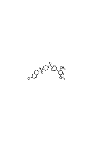 Cc1cc(-c2cnc(C(=O)N3CCN(S(=O)(=O)c4ccc5cc(Cl)ccc5c4)CC3)nc2)c(C)cn1